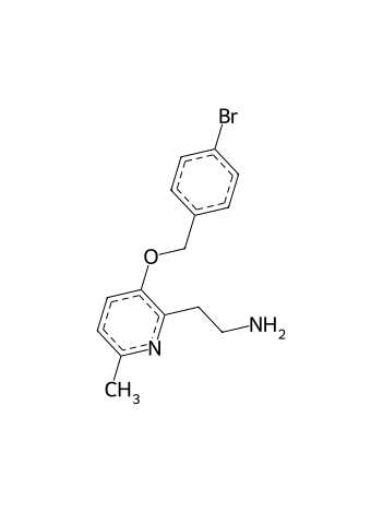 Cc1ccc(OCc2ccc(Br)cc2)c(CCN)n1